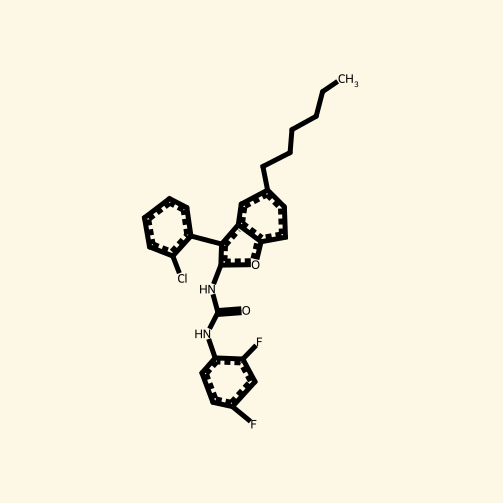 CCCCCCc1ccc2oc(NC(=O)Nc3ccc(F)cc3F)c(-c3ccccc3Cl)c2c1